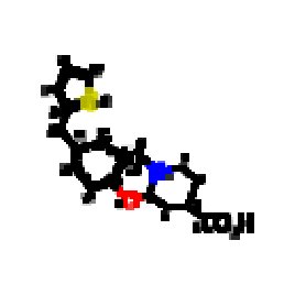 CCN1CCC(C(=O)O)CC1Oc1ccc(Cc2cccs2)cc1